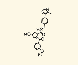 CCOc1cccc(C(=O)N2C[C@H](O)C[C@H]2C(=O)NCC2=CCC(c3scnc3C)C=C2)c1